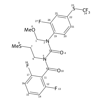 COCN(C(=O)N(CCSC)C(=O)c1c(F)cccc1F)c1ccc(SC(F)(F)F)cc1F